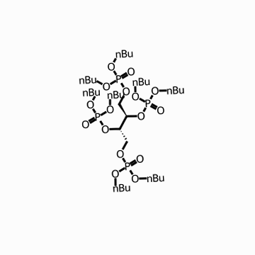 CCCCOP(=O)(OCCCC)OC[C@H](OP(=O)(OCCCC)OCCCC)[C@@H](COP(=O)(OCCCC)OCCCC)OP(=O)(OCCCC)OCCCC